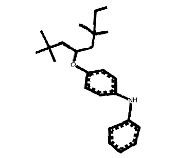 CCC(C)(C)CC(CC(C)(C)C)Oc1ccc(Nc2ccccc2)cc1